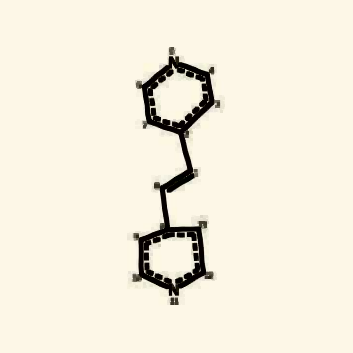 C(=C\c1ccncc1)/c1ccncc1